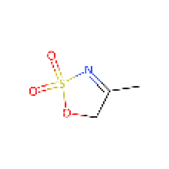 CC1=NS(=O)(=O)OC1